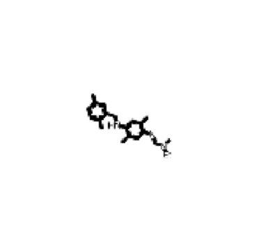 CCN(C)C=Nc1cc(C)c(NCc2cc(C)ccc2C)cc1C